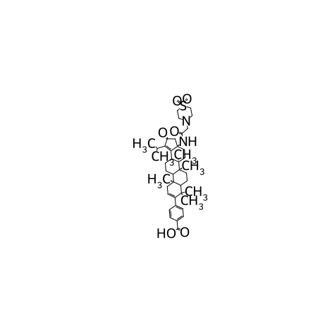 CC(C)C1=C2C3CCC4[C@@]5(C)CC=C(c6ccc(C(=O)O)cc6)C(C)(C)C5CC[C@@]4(C)[C@]3(C)CC[C@@]2(NC(=O)CN2CCS(=O)(=O)CC2)CC1=O